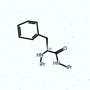 CC(C)NC(=O)[C@H](Cc1ccccc1)NC(C)C